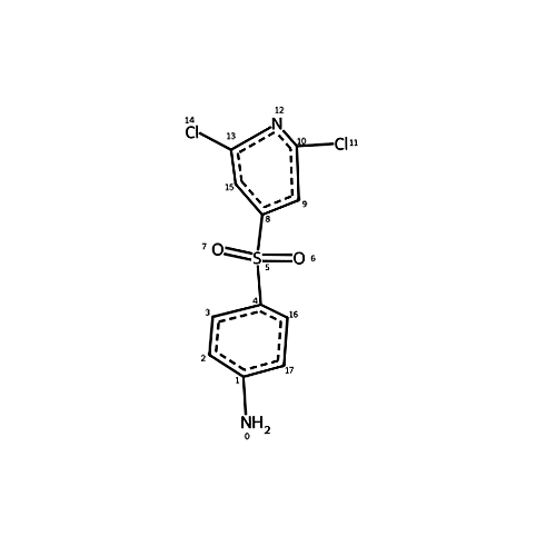 Nc1ccc(S(=O)(=O)c2cc(Cl)nc(Cl)c2)cc1